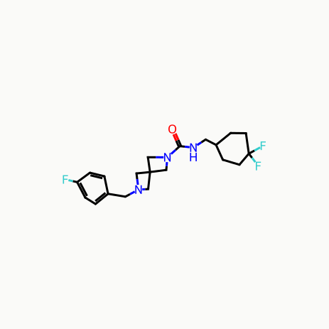 O=C(NCC1CCC(F)(F)CC1)N1CC2(CN(Cc3ccc(F)cc3)C2)C1